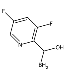 BC(O)c1ncc(F)cc1F